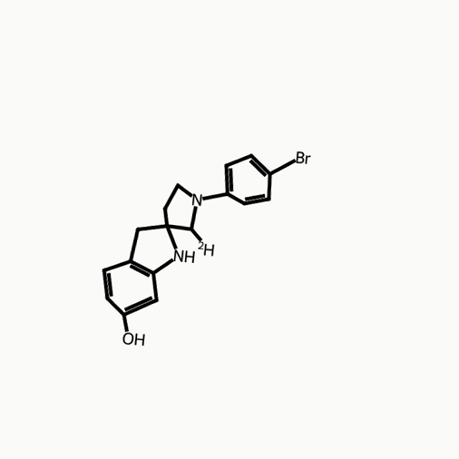 [2H]C1N(c2ccc(Br)cc2)CCC12Cc1ccc(O)cc1N2